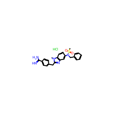 Cl.Cn1c(Cc2ccc(C(=N)N)cc2)nc2cc(N(Cc3ccccc3)S(C)(=O)=O)ccc21